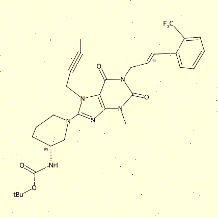 CC#CCn1c(N2CCC[C@@H](NC(=O)OC(C)(C)C)C2)nc2c1c(=O)n(C/C=C/c1ccccc1C(F)(F)F)c(=O)n2C